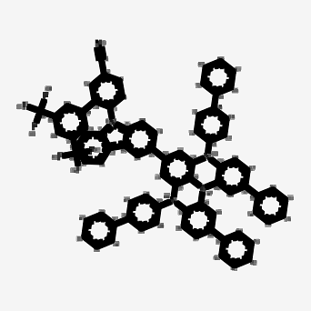 N#Cc1ccc(-n2c3ccccc3c3cc(-c4cc5c6c(c4)N(c4ccc(-c7ccccc7)cc4)c4ccc(-c7ccccc7)cc4B6c4cc(-c6ccccc6)ccc4N5c4ccc(-c5ccccc5)cc4)ccc32)c(-c2cc(C(F)(F)F)cc(C(F)(F)F)c2)c1